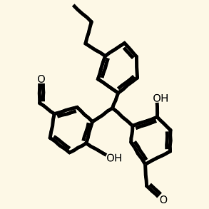 CCCc1cccc(C(c2cc(C=O)ccc2O)c2cc(C=O)ccc2O)c1